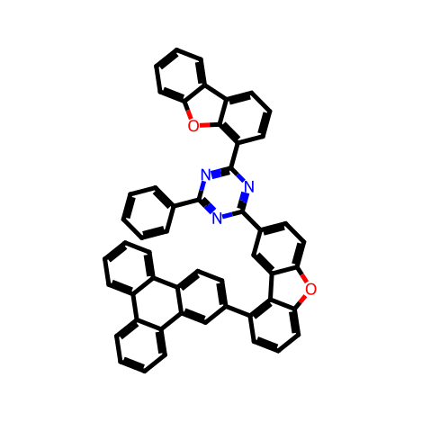 c1ccc(-c2nc(-c3ccc4oc5cccc(-c6ccc7c8ccccc8c8ccccc8c7c6)c5c4c3)nc(-c3cccc4c3oc3ccccc34)n2)cc1